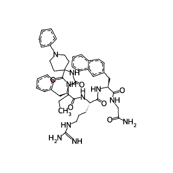 CCCCC(=O)NC1(C(=O)N[C@H](Cc2ccccc2)C(=O)N[C@@H](CCCNC(=N)N)C(=O)N[C@@H](Cc2ccc3ccccc3c2)C(=O)NCC(N)=O)CCN(c2ccccc2)CC1